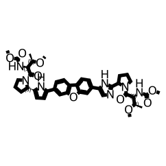 COC(=O)N[C@H](C(=O)N1CCCC1c1ncc(-c2ccc3c(c2)oc2cc(-c4ccc([C@@H]5CCCN5C(=O)[C@@H](NC(=O)OC)[C@@H](C)OC)[nH]4)ccc23)[nH]1)[C@@H](C)OC